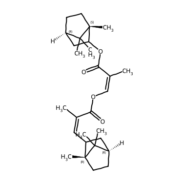 CC(=CC1C[C@H]2CC[C@@]1(C)C2(C)C)C(=O)OC=C(C)C(=O)OC1C[C@H]2CC[C@@]1(C)C2(C)C